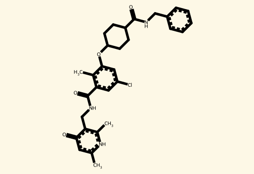 Cc1cc(=O)c(CNC(=O)c2cc(Cl)cc(OC3CCC(C(=O)NCc4ccccc4)CC3)c2C)c(C)[nH]1